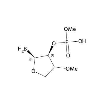 B[C@@H]1OCC(OC)[C@@H]1OP(=O)(O)OC